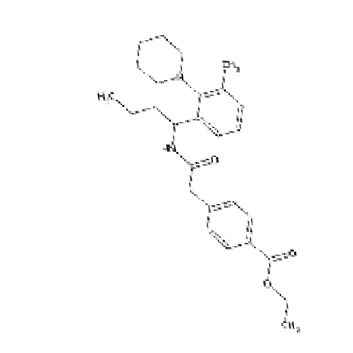 CCCC(NC(=O)Cc1ccc(C(=O)OCC)cc1)c1cccc(C)c1N1CCCCC1